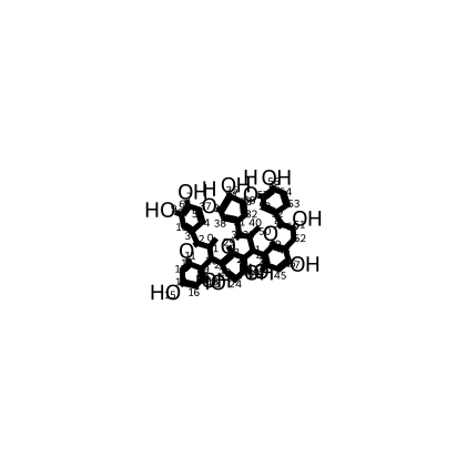 CC1C(c2ccc(O)c(O)c2)Oc2cc(O)cc(O)c2C1c1c(O)cc(O)c2c1OC(c1ccc(O)c(O)c1)C(C)C2c1c(O)cc(O)c2c1OC(c1ccc(O)c(O)c1)[C@@H](O)C2